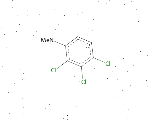 CNc1ccc(Cl)c(Cl)c1Cl